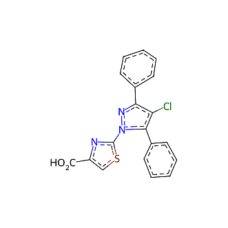 O=C(O)c1csc(-n2nc(-c3ccccc3)c(Cl)c2-c2ccccc2)n1